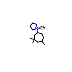 CC1CCC([N+]2(C(C)C)CCCC2)CC(C)(C)C1